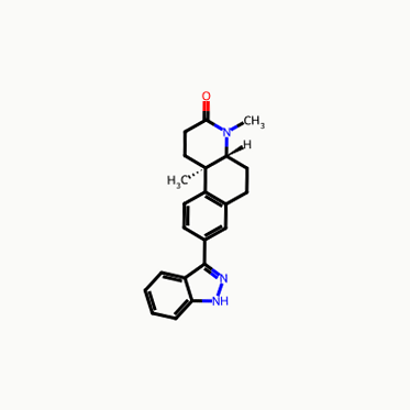 CN1C(=O)CC[C@]2(C)c3ccc(-c4n[nH]c5ccccc45)cc3CC[C@@H]12